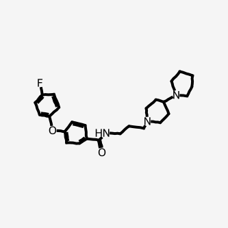 O=C(NCCCN1CCC(N2CCCCC2)CC1)c1ccc(Oc2ccc(F)cc2)cc1